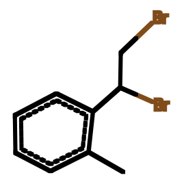 Cc1ccccc1C(Br)CBr